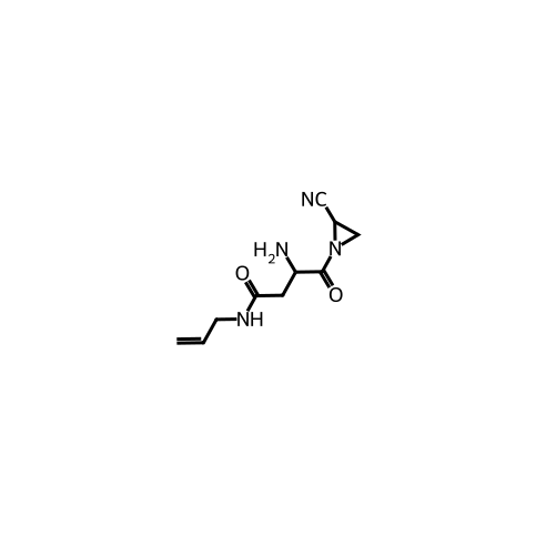 C=CCNC(=O)CC(N)C(=O)N1CC1C#N